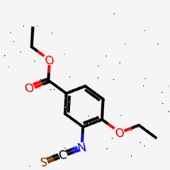 CCOC(=O)c1ccc(OCC)c(N=C=S)c1